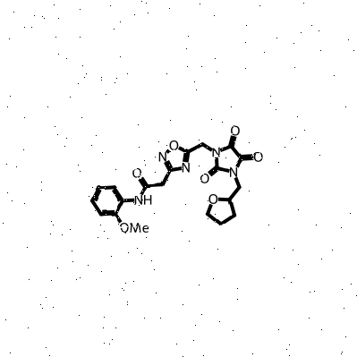 COc1ccccc1NC(=O)Cc1noc(CN2C(=O)C(=O)N(CC3CCCO3)C2=O)n1